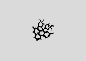 Cc1ccc2c(c1)C(C1CC[Si](C)(C)C1)(C1CC[Si](C)(C)C1)c1cc(C)cc3cccc-2c13